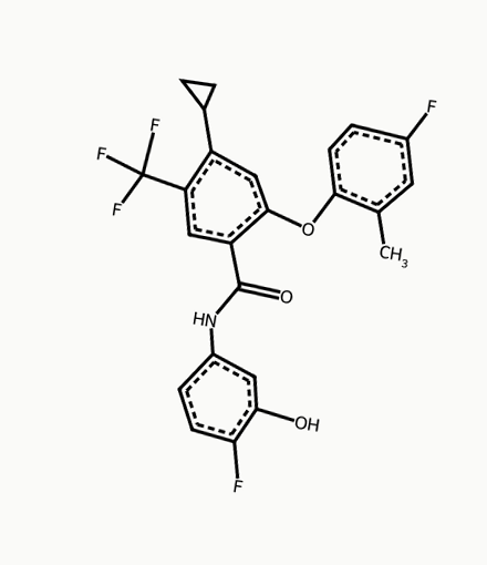 Cc1cc(F)ccc1Oc1cc(C2CC2)c(C(F)(F)F)cc1C(=O)Nc1ccc(F)c(O)c1